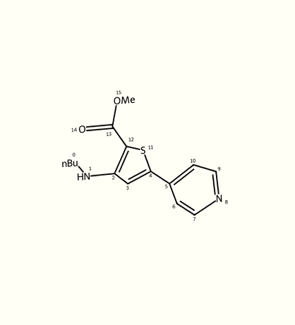 CCCCNc1cc(-c2ccncc2)sc1C(=O)OC